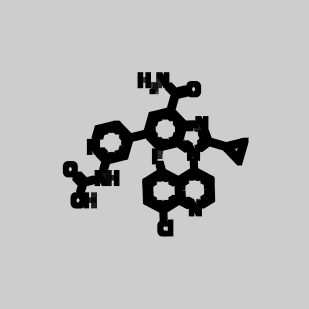 NC(=O)c1cc(-c2ccnc(NC(=O)O)c2)cc2c1nc(C1CC1)n2-c1ccnc2c(Cl)ccc(F)c12